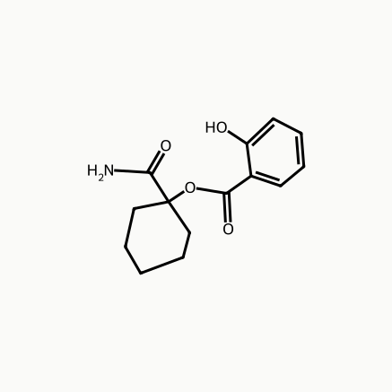 NC(=O)C1(OC(=O)c2ccccc2O)CCCCC1